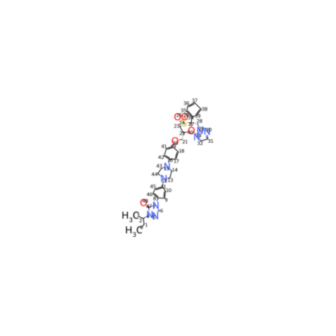 CCC(C)n1ncn(-c2ccc(N3CCN(c4ccc(OC[C@@H]5CS(=O)(=O)[C@@](Cn6nccn6)(c6ccccc6)O5)cc4)CC3)cc2)c1=O